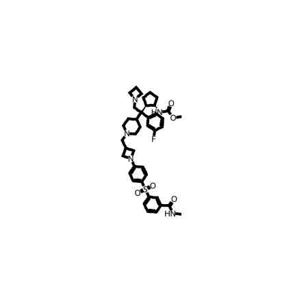 CNC(=O)c1cccc(S(=O)(=O)c2ccc(N3CC(CN4CCC(C(CN5CCC5)(c5cccc(F)c5)[C@H]5CCC[C@@H]5NC(=O)OC)CC4)C3)cc2)c1